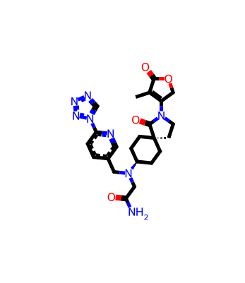 CC1=C(N2CC[C@]3(CC[C@H](N(CC(N)=O)Cc4ccc(-n5cnnn5)nc4)CC3)C2=O)COC1=O